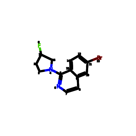 FC1CCN(c2nccc3cc(Br)ccc23)C1